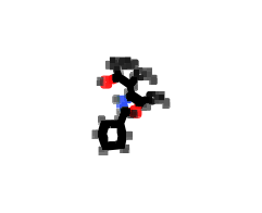 CNC(=O)C(C)c1nc(-c2ccccc2)oc1C